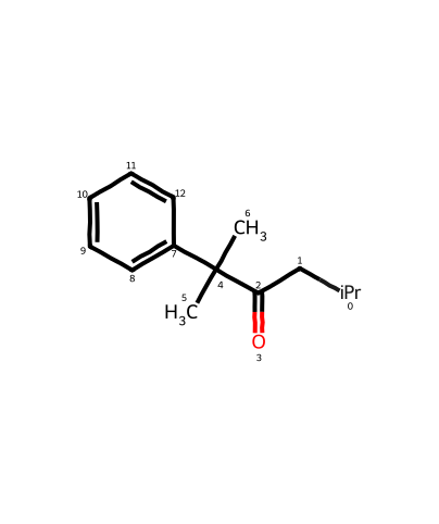 CC(C)CC(=O)C(C)(C)c1ccccc1